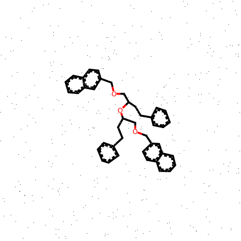 c1ccc(CCC(COCc2ccc3ccccc3c2)OC(CCc2ccccc2)COCc2ccc3ccccc3c2)cc1